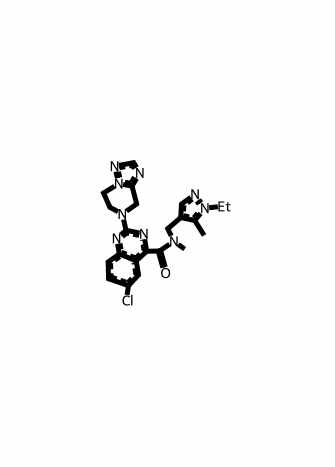 CCn1ncc(CN(C)C(=O)c2nc(N3CCn4ncnc4C3)nc3ccc(Cl)cc23)c1C